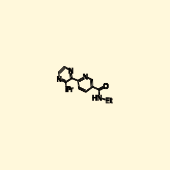 CCNC(=O)c1ccc(-c2nccnc2C(C)C)nc1